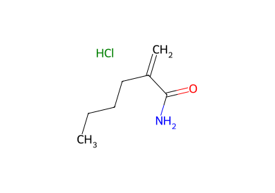 C=C(CCCC)C(N)=O.Cl